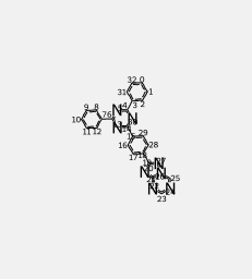 c1ccc(-c2nc(-c3ccccc3)nc(-c3ccc(-c4nc5ncncn5n4)cc3)n2)cc1